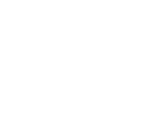 COC(=O)C(C)=CC1CC1(C)C